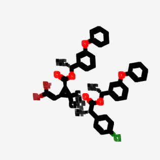 CC(C)[C@H](C(=O)O[C@H](C#N)c1cccc(Oc2ccccc2)c1)c1ccc(Cl)cc1.CC1(C)[C@H](C(=O)O[C@H](C#N)c2cccc(Oc3ccccc3)c2)[C@@H]1C=C(Br)Br